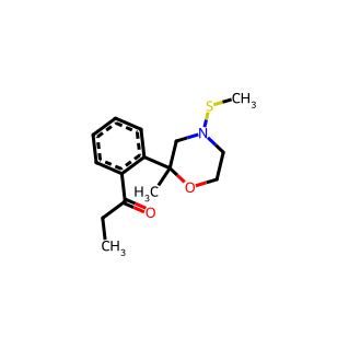 CCC(=O)c1ccccc1C1(C)CN(SC)CCO1